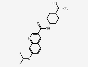 O=C(N[C@H]1CC[C@H]([C@H](O)C(F)(F)F)CC1)c1cnc2cc(OC(F)F)ccc2c1